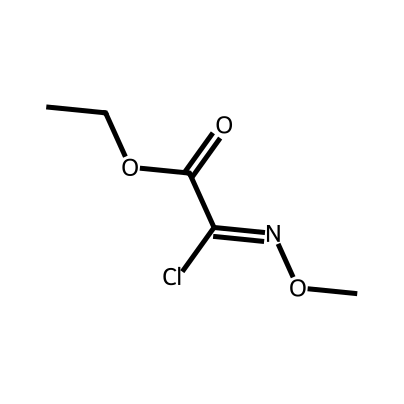 CCOC(=O)C(Cl)=NOC